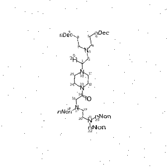 [2H]C(CN(CCCCCCCCCCCC)CCCCCCCCCCCC)N1CCN(C(=O)CN(CCCCCCCCC)CCN(CCCCCCCCC)CCCCCCCCC)CC1